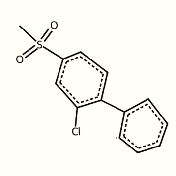 CS(=O)(=O)c1ccc(-c2[c]cccc2)c(Cl)c1